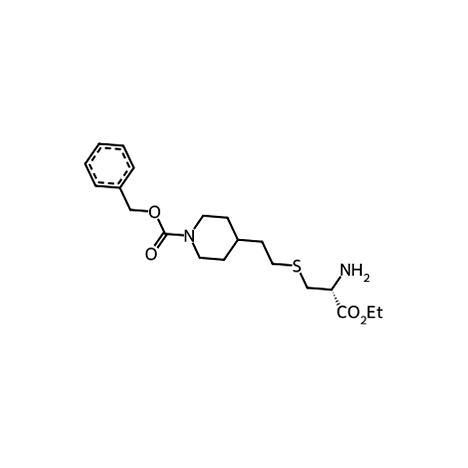 CCOC(=O)[C@@H](N)CSCCC1CCN(C(=O)OCc2ccccc2)CC1